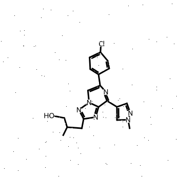 CC(CO)Cc1nc2c(-c3cnn(C)c3)nc(-c3ccc(Cl)cc3)cn2n1